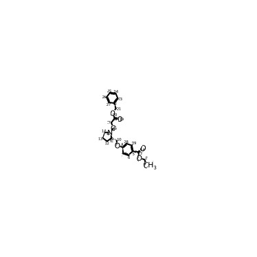 CCOC(=O)c1ccc(OC[C@@H]2CCCN2OCC(=O)OCc2ccccc2)cc1